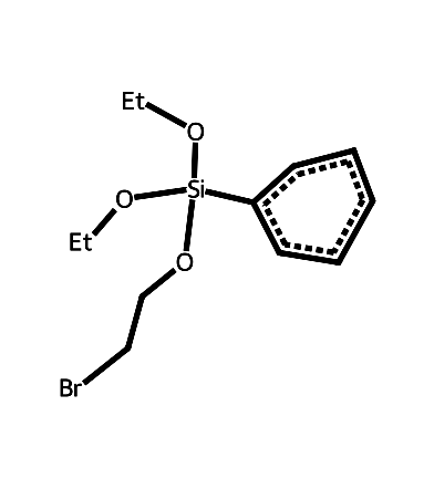 CCO[Si](OCC)(OCCBr)c1ccccc1